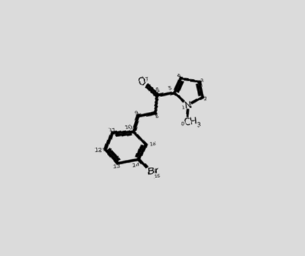 Cn1cccc1C(=O)CCc1cccc(Br)c1